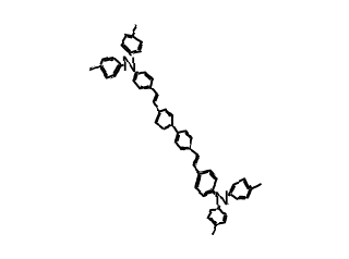 CC1=CCC(N(c2ccc(C)cc2)c2ccc(/C=C/c3ccc(-c4ccc(/C=C/c5ccc(N(c6ccc(C)cc6)c6ccc(C)cc6)cc5)cc4)cc3)cc2)C=C1